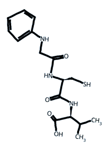 CC(C)[C@H](NC(=O)[C@H](CS)NC(=O)CNc1ccccc1)C(=O)O